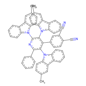 Cc1ccc2c(c1)c1ccccc1n2-c1nc(-c2ccccc2)c(-n2c3ccccc3c3cc(C)ccc32)c(-c2ccc(C#N)c(C#N)c2)c1-n1c2ccccc2c2cc(C)ccc21